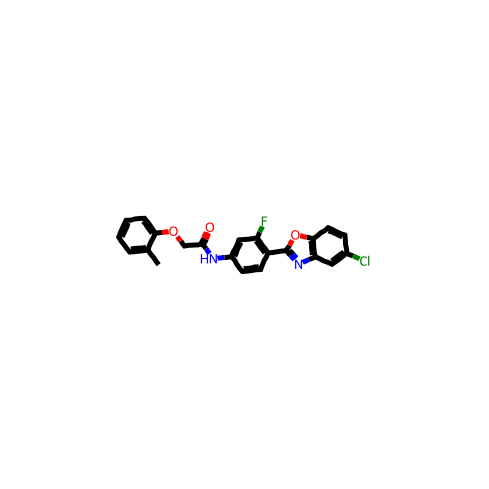 Cc1ccccc1OCC(=O)Nc1ccc(-c2nc3cc(Cl)ccc3o2)c(F)c1